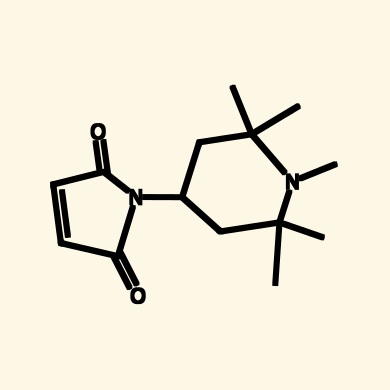 CN1C(C)(C)CC(N2C(=O)C=CC2=O)CC1(C)C